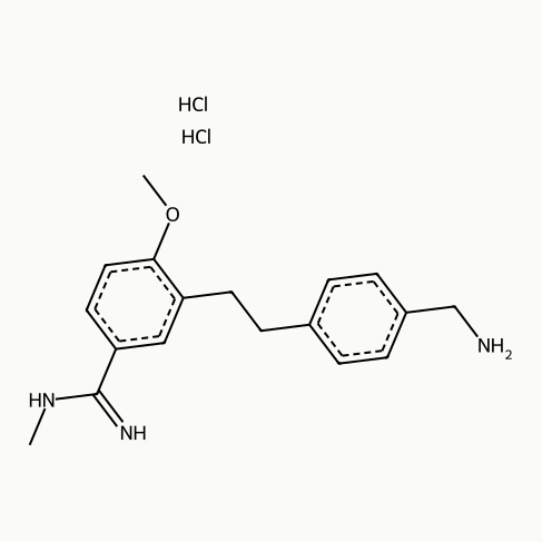 CNC(=N)c1ccc(OC)c(CCc2ccc(CN)cc2)c1.Cl.Cl